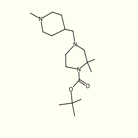 CN1CCC(CN2CCN(C(=O)OC(C)(C)C)C(C)(C)C2)CC1